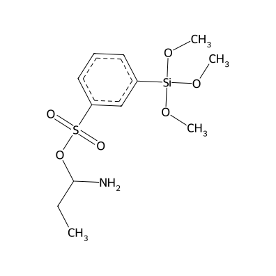 CCC(N)OS(=O)(=O)c1cccc([Si](OC)(OC)OC)c1